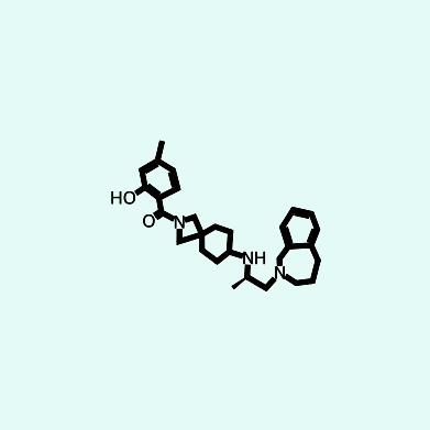 Cc1ccc(C(=O)N2CC3(CCC(N[C@H](C)CN4CCCc5ccccc5C4)CC3)C2)c(O)c1